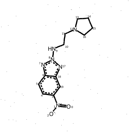 O=[N+]([O-])c1ccc2nn(NCCN3CCCC3)nc2c1